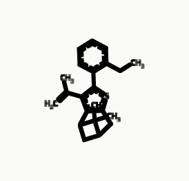 C=C(C)c1c(-c2ccccc2CC)sc2c1C1CC(C2)C1(C)C